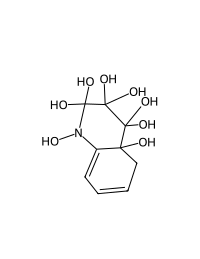 ON1C2=CC=CCC2(O)C(O)(O)C(O)(O)C1(O)O